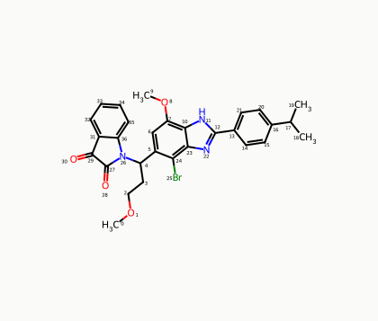 COCCC(c1cc(OC)c2[nH]c(-c3ccc(C(C)C)cc3)nc2c1Br)N1C(=O)C(=O)c2ccccc21